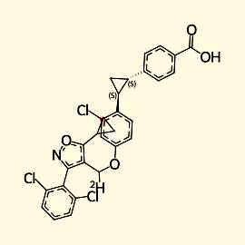 [2H]C(Oc1ccc([C@H]2C[C@@H]2c2ccc(C(=O)O)cc2)c(Cl)c1)c1c(-c2c(Cl)cccc2Cl)noc1C1CC1